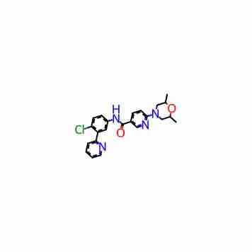 CC1CN(c2ccc(C(=O)Nc3ccc(Cl)c(-c4ccccn4)c3)cn2)CC(C)O1